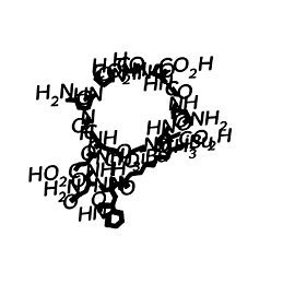 CCC(C)CCCCCCCCC(=O)NC(Cc1c[nH]c2ccccc12)C(=O)NC(CC(N)=O)C(=O)NC(CC(=O)O)C(=O)NC1C(=O)NCC(=O)NC(CCCN)C(=O)NC(CC(=O)O)C(=O)NC(C)C(=O)NC(CC(=O)O)C(=O)NCC(=O)NC(CC(N)=O)C(=O)NC(C(C)CC(=O)O)C(=O)NC(C(C)CC)C(=O)OC1C